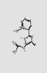 Cc1nc(-c2cccc[n+]2[O-])sc1OC(=O)O